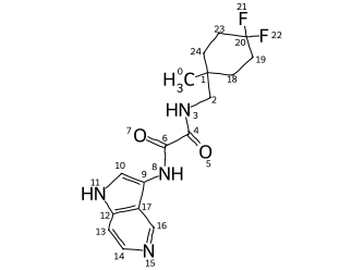 CC1(CNC(=O)C(=O)Nc2c[nH]c3ccncc23)CCC(F)(F)CC1